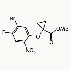 COC(=O)C1(Oc2cc(Br)c(F)cc2[N+](=O)[O-])CC1